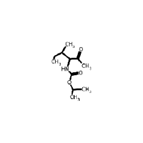 CCC(C)C(NC(=O)OC(C)C)C(C)=O